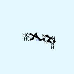 OCC1(CO)C/C1=C\c1ncc2nc[nH]c2n1